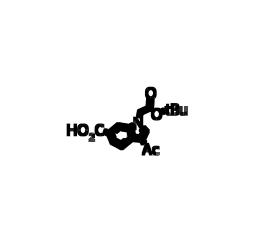 CC(=O)c1cn(CC(=O)OC(C)(C)C)c2cc(C(=O)O)ccc12